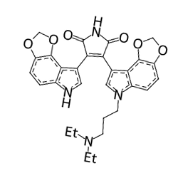 CCN(CC)CCCn1cc(C2=C(c3c[nH]c4ccc5c(c34)OCO5)C(=O)NC2=O)c2c3c(ccc21)OCO3